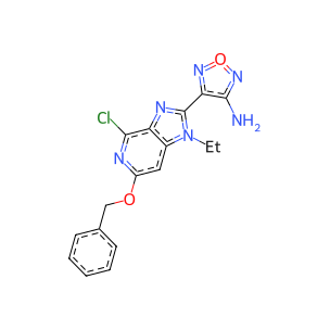 CCn1c(-c2nonc2N)nc2c(Cl)nc(OCc3ccccc3)cc21